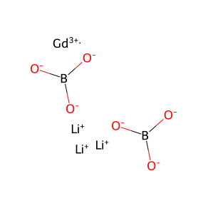 [Gd+3].[Li+].[Li+].[Li+].[O-]B([O-])[O-].[O-]B([O-])[O-]